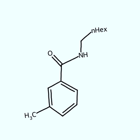 CCCCCCCNC(=O)c1cccc(C)c1